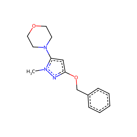 Cn1nc(OCc2ccccc2)cc1N1CCOCC1